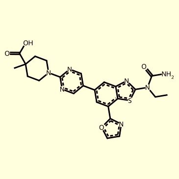 CCN(C(N)=O)c1nc2cc(-c3cnc(N4CCC(C)(C(=O)O)CC4)nc3)cc(-c3ncco3)c2s1